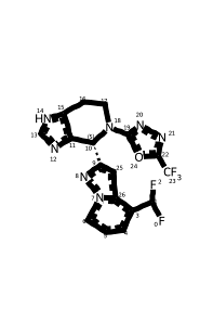 FC(F)c1cccn2nc([C@@H]3c4nc[nH]c4CCN3c3nnc(C(F)(F)F)o3)cc12